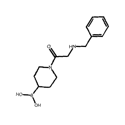 O=C(CNCc1ccccc1)N1CCC(B(O)O)CC1